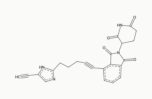 C#Cc1cnc(CCCC#Cc2cccc3c2C(=O)N(C2CCC(=O)NC2=O)C3=O)[nH]1